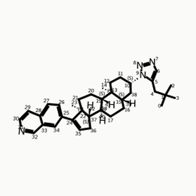 CC(C)(C)Cc1cnnn1[C@H]1CC[C@@]2(C)[C@@H](CC[C@@H]3[C@@H]2CC[C@]2(C)C(c4ccc5ccncc5c4)=CC[C@@H]32)C1